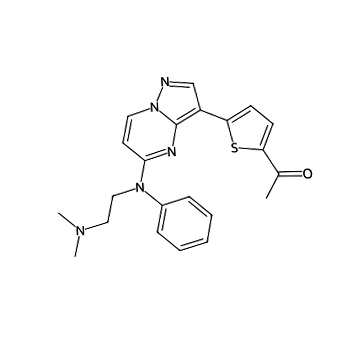 CC(=O)c1ccc(-c2cnn3ccc(N(CCN(C)C)c4ccccc4)nc23)s1